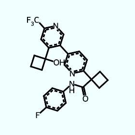 O=C(Nc1ccc(F)cc1)C1(c2ccc(-c3cnc(C(F)(F)F)cc3C3(O)CCC3)cn2)CCC1